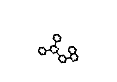 c1ccc(-c2cc(-c3ccccc3)nc(-c3cccc(-c4nccc5ccccc45)c3)n2)cc1